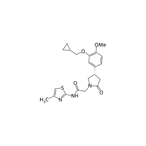 COc1ccc([C@@H]2CC(=O)N(CC(=O)Nc3nc(C)cs3)C2)cc1OCC1CC1